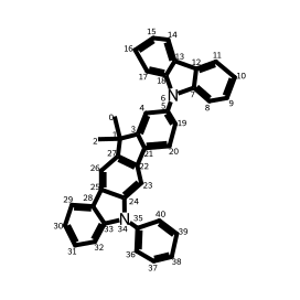 CC1(C)c2cc(-n3c4ccccc4c4ccccc43)ccc2-c2cc3c(cc21)c1ccccc1n3-c1ccccc1